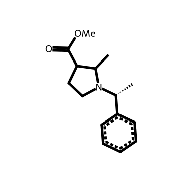 COC(=O)C1CCN([C@H](C)c2ccccc2)C1C